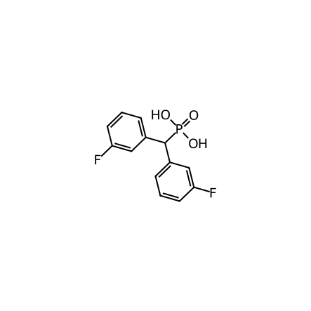 O=P(O)(O)C(c1cccc(F)c1)c1cccc(F)c1